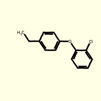 CCc1ccc(Oc2ccccc2Cl)cc1